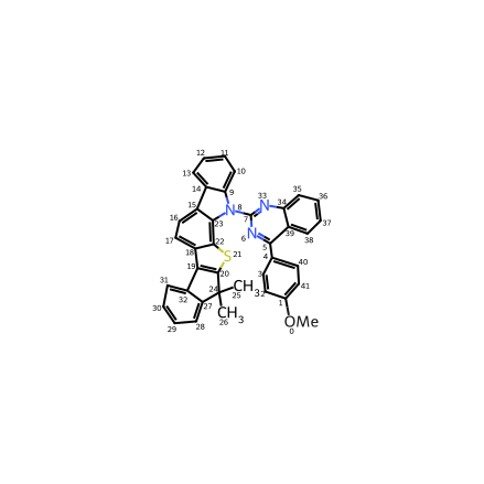 COc1ccc(-c2nc(-n3c4ccccc4c4ccc5c6c(sc5c43)C(C)(C)c3ccccc3-6)nc3ccccc23)cc1